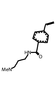 C=Cc1ccc(C(=O)NCCCNC)cc1